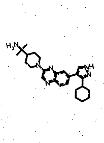 CC(C)(N)C1CCN(c2cnc3ccc(-c4c[nH]nc4C4CCCCC4)cc3n2)CC1